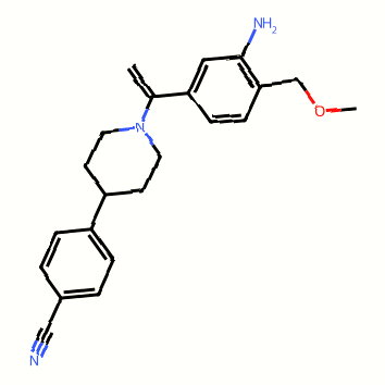 C=C(c1ccc(COC)c(N)c1)N1CCC(c2ccc(C#N)cc2)CC1